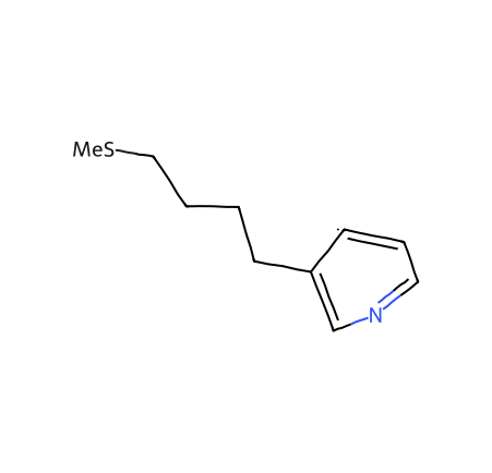 CSCCCCc1[c]ccnc1